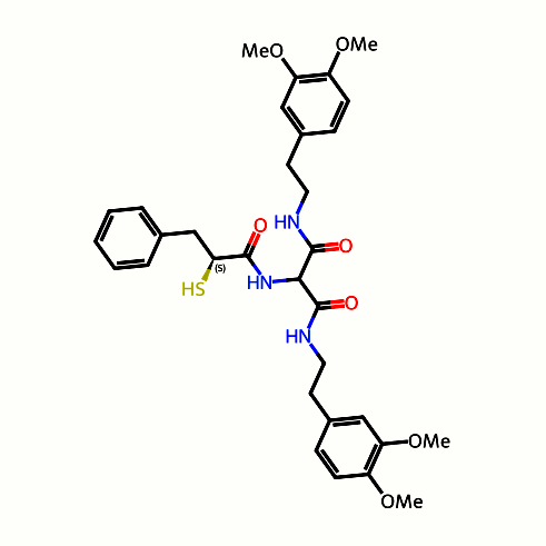 COc1ccc(CCNC(=O)C(NC(=O)[C@@H](S)Cc2ccccc2)C(=O)NCCc2ccc(OC)c(OC)c2)cc1OC